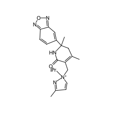 CC1=N[N+](CC2=C(C)CC(C)(c3ccc4nonc4c3)NC2=O)(C(C)C)C=C1